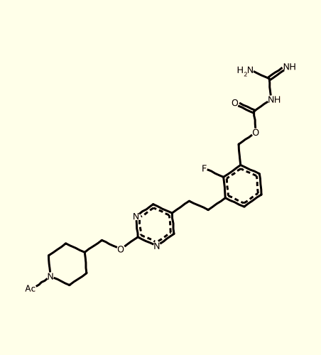 CC(=O)N1CCC(COc2ncc(CCc3cccc(COC(=O)NC(=N)N)c3F)cn2)CC1